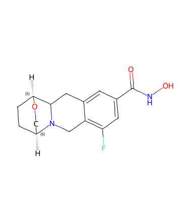 O=C(NO)c1cc(F)c2c(c1)CC1[C@@H]3CC[C@@H](CO3)N1C2